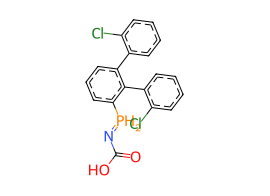 O=C(O)N=[PH2]c1cccc(-c2ccccc2Cl)c1-c1ccccc1Cl